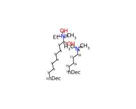 CCCCCCCCCCCCCCCCCC(O)[N+](C)(O)CC.CCCCCCCCCCCCCCN(C)C